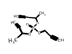 C#CCOP(=O)(OC(C)C#C)OC(C)C#C